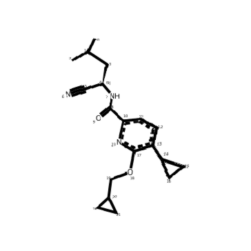 CC(C)C[C@H](C#N)NC(=O)c1ccc(C2CC2)c(OCC2CC2)n1